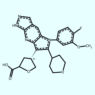 COc1cc(-n2c(C3CCOCC3)c([C@@H]3COC(C(=O)O)C3)c3nc4[nH]ncc4cc32)ccc1F